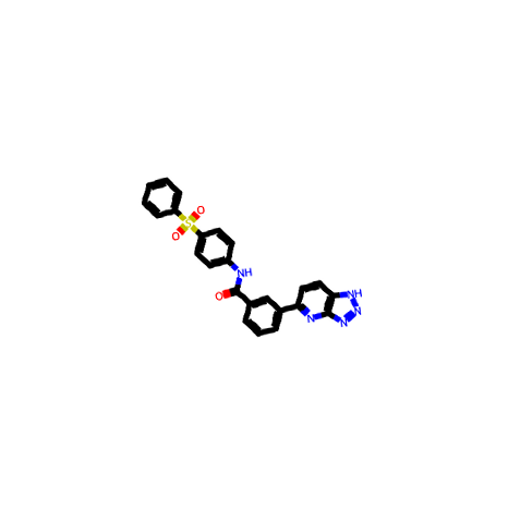 O=C(Nc1ccc(S(=O)(=O)c2ccccc2)cc1)c1cccc(-c2ccc3[nH]nnc3n2)c1